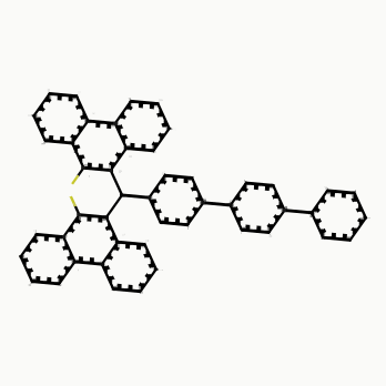 c1ccc(-c2ccc(-c3ccc(C4c5c(c6ccccc6c6ccccc56)Sc5c4c4ccccc4c4ccccc54)cc3)cc2)cc1